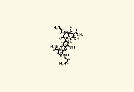 CN[C@@H]1[C@@H](O)[C@@H](O[C@H]2[C@H](NC(=O)N(O)CCN)C[C@H](N)C(O[C@H]3OC(CN)=CC[C@H]3NCCCN)[C@@H]2O)OC[C@H]1C